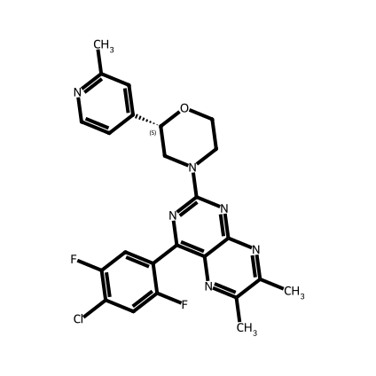 Cc1cc([C@H]2CN(c3nc(-c4cc(F)c(Cl)cc4F)c4nc(C)c(C)nc4n3)CCO2)ccn1